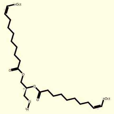 [2H]OC[C@@H](COC(=O)CCCCCCC/C=C\CCCCCCCC)OC(=O)CCCCCCC/C=C\CCCCCCCC